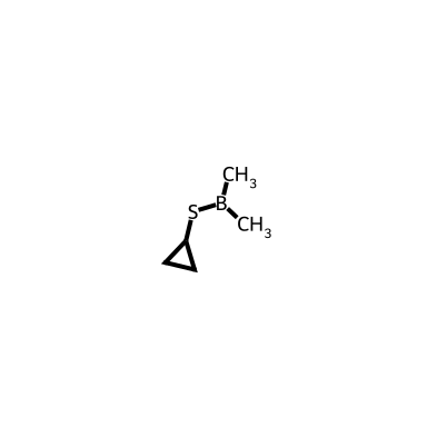 CB(C)SC1CC1